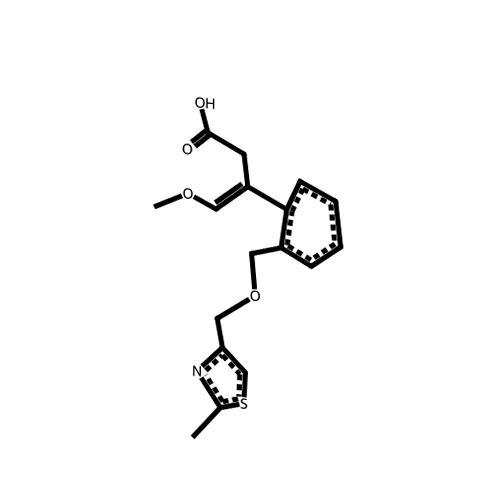 COC=C(CC(=O)O)c1ccccc1COCc1csc(C)n1